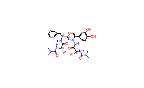 C=C(c1ccc(O)c(O)c1)N(C[C@H](O)[C@H](Cc1ccccc1)NC(=O)[C@@H](NC(=O)N(C)C)C(C)C)NC(=O)[C@@H](NC(=O)N(C)C)C(C)C